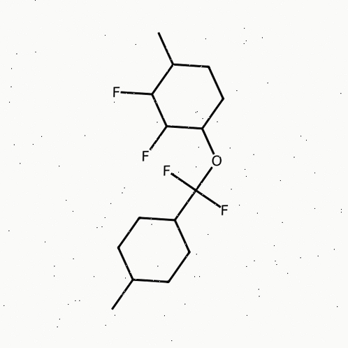 CC1CCC(C(F)(F)OC2CCC(C)C(F)C2F)CC1